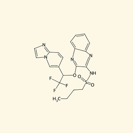 CCCCS(=O)(=O)Nc1nc2ccccc2nc1OC(c1ccc2nccn2c1)C(F)(F)F